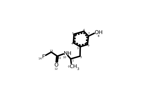 CC(Cc1cccc(O)c1)NC(=O)CF